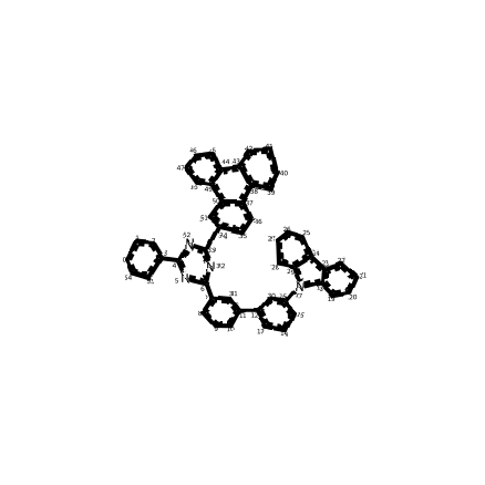 c1ccc(-c2nc(-c3cccc(-c4cccc(-n5c6ccccc6c6ccccc65)c4)c3)nc(-c3ccc4c5ccccc5c5ccccc5c4c3)n2)cc1